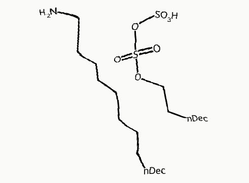 CCCCCCCCCCCCCCCCCCN.CCCCCCCCCCCCOS(=O)(=O)OS(=O)(=O)O